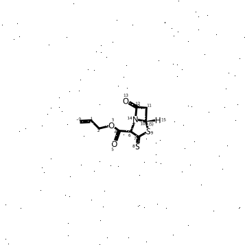 C=CCOC(=O)C1C(=S)S[C@H]2CC(=O)N12